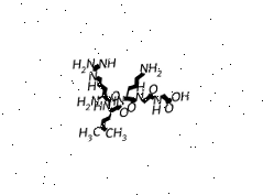 CC(C)CC[C@@H](NC(=O)[C@@H](N)CCCNC(=N)N)C(=O)N[C@@H](CCCCN)C(=O)NCC(=O)NCC(=O)O